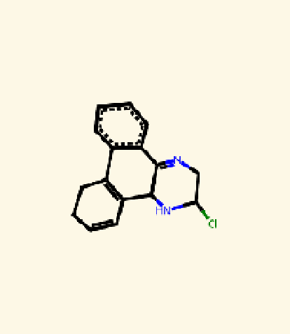 ClC1CN=C2c3ccccc3C3=C(C=CCC3)C2N1